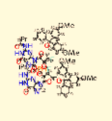 COc1ccc(C(OC[C@H]2O[C@@H](n3cnc4c(=O)[nH]c(NC(=O)C(C)C)nc43)[C@H](O[PH](=O)O[C@@H]3[C@@H](F)[C@@H](COC(c4ccccc4)(c4ccc(OC)cc4)c4ccc(OC)cc4)O[C@H]3n3cnc4c(=O)[nH]c(NC(=O)C(C)C)nc43)[C@H]2F)(c2ccccc2)c2ccc(OC)cc2)cc1